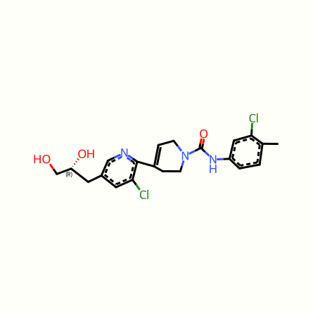 Cc1ccc(NC(=O)N2CC=C(c3ncc(C[C@@H](O)CO)cc3Cl)CC2)cc1Cl